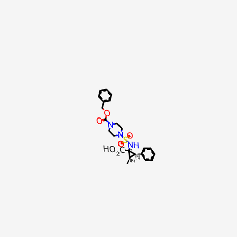 C[C@@H]1[C@H](c2ccccc2)[C@]1(NS(=O)(=O)N1CCN(C(=O)OCc2ccccc2)CC1)C(=O)O